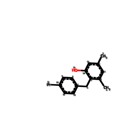 Cc1cc(C)c(Cc2ccc(C(C)C)cc2)c(O)c1